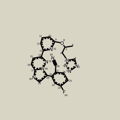 CC(Cn1cnnn1)Oc1cccc(-c2ccc3ncc(-c4cc(F)ccc4C#N)n3n2)n1